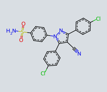 N#Cc1c(-c2ccc(Cl)cc2)nn(-c2ccc(S(N)(=O)=O)cc2)c1-c1ccc(Cl)cc1